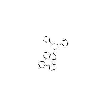 c1ccc(-c2nc(-c3ccccc3)nc(-c3cc4oc5cccc6c5c4c4c(cccc34)-c3ccccc3-6)n2)cc1